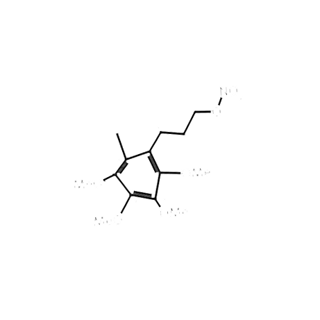 COc1c(C)c(CCCO[N+](=O)[O-])c(OC)c(OC)c1OC